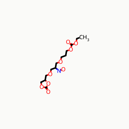 CCOC(=O)OCCCOCC(COCC1COC(=O)O1)N=O